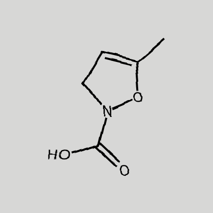 CC1=CCN(C(=O)O)O1